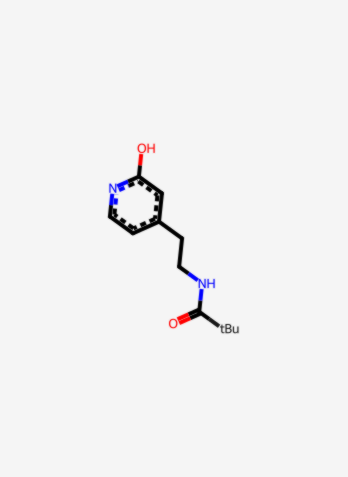 CC(C)(C)C(=O)NCCc1ccnc(O)c1